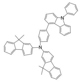 CC1(C)c2ccccc2-c2ccc(N(c3ccc(-c4cccc5c4c4ccccc4n5-c4ccccc4)cc3)c3ccc4c(c3)C(C)(C)c3ccccc3-4)cc21